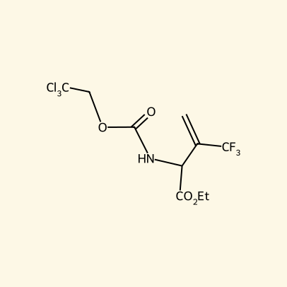 C=C(C(NC(=O)OCC(Cl)(Cl)Cl)C(=O)OCC)C(F)(F)F